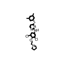 Cc1cc(C)cc(Sc2ccnc(Nc3cc(Cl)c(OCCN4CCCC4)c(Cl)c3)n2)c1